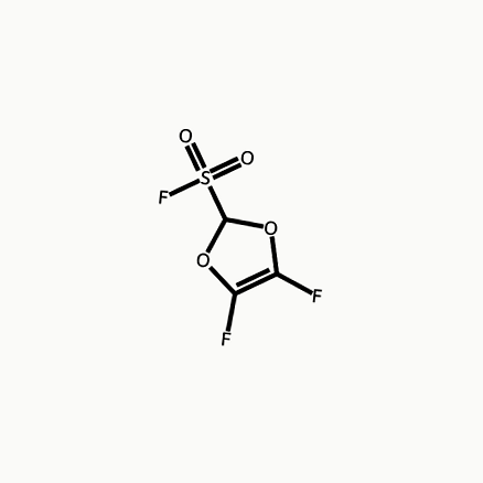 O=S(=O)(F)C1OC(F)=C(F)O1